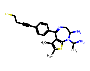 Cc1sc2c(c1C)C(c1ccc(C#CCCS)cc1)=NCC(N)N2C(C)N